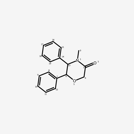 CN1C(=O)COC(c2ccccc2)C1c1ccccc1